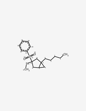 CCCCCC12CC1CC(SC)(S(=O)(=O)c1ccccc1)C2